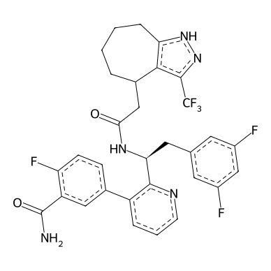 NC(=O)c1cc(-c2cccnc2[C@H](Cc2cc(F)cc(F)c2)NC(=O)CC2CCCCc3[nH]nc(C(F)(F)F)c32)ccc1F